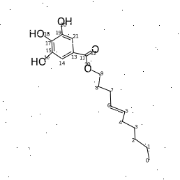 CCCCCC=CCCCOC(=O)c1cc(O)c(O)c(O)c1